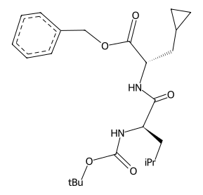 CC(C)C[C@@H](NC(=O)OC(C)(C)C)C(=O)N[C@@H](CC1CC1)C(=O)OCc1ccccc1